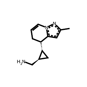 Cc1cc2n(n1)C=CCC2[C@@H]1C[C@H]1CN